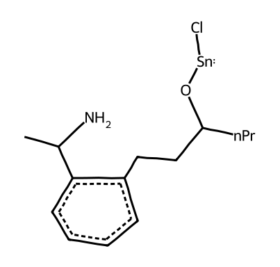 CCCC(CCc1ccccc1C(C)N)[O][Sn][Cl]